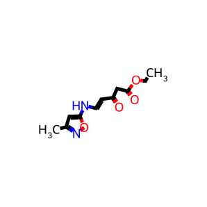 CCOC(=O)CC(=O)C=CNc1cc(C)no1